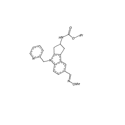 CON=Cc1ccc2c(c1)c1c(n2Cc2ccccn2)CC(NC(=O)OC(C)C)C1